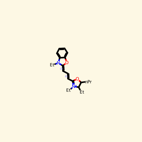 CCCC1OC(/C=C/C=C2\Oc3ccccc3N2CC)=[N+](CC)C1CC